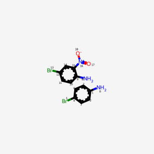 Nc1ccc(Br)cc1.Nc1ccc(Br)cc1[N+](=O)[O-]